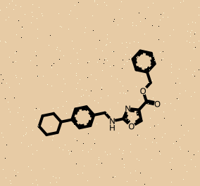 O=C(OCc1ccccc1)c1coc(NCc2ccc(C3CCCCC3)cc2)n1